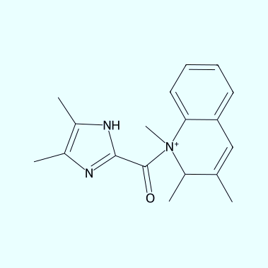 CC1=Cc2ccccc2[N+](C)(C(=O)c2nc(C)c(C)[nH]2)C1C